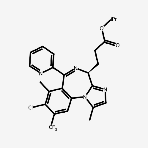 Cc1c(Cl)c(C(F)(F)F)cc2c1C(c1ccccn1)=N[C@@H](CCC(=O)OC(C)C)c1ncc(C)n1-2